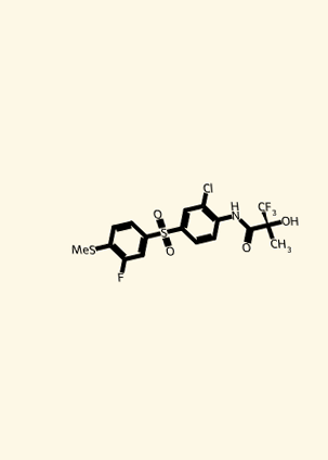 CSc1ccc(S(=O)(=O)c2ccc(NC(=O)[C@@](C)(O)C(F)(F)F)c(Cl)c2)cc1F